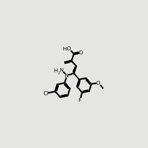 C=C(/C=C(/c1cc(F)cc(OC)c1)N(N)c1cccc(Cl)c1)C(=O)O